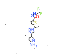 CCC(c1ccc(-c2nnc(C(F)F)o2)s1)n1cc(-c2ccc(N)nc2)nn1